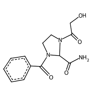 NC(=O)C1N(C(=O)CO)CCN1C(=O)c1ccccc1